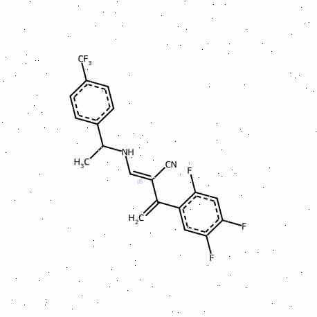 C=C(/C(C#N)=C/NC(C)c1ccc(C(F)(F)F)cc1)c1cc(F)c(F)cc1F